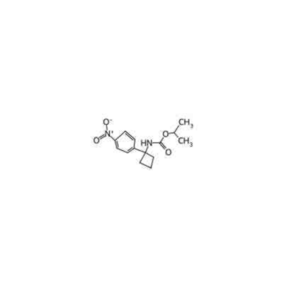 CC(C)OC(=O)NC1(c2ccc([N+](=O)[O-])cc2)CCC1